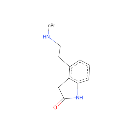 CCCNCCc1cccc2c1CC(=O)N2